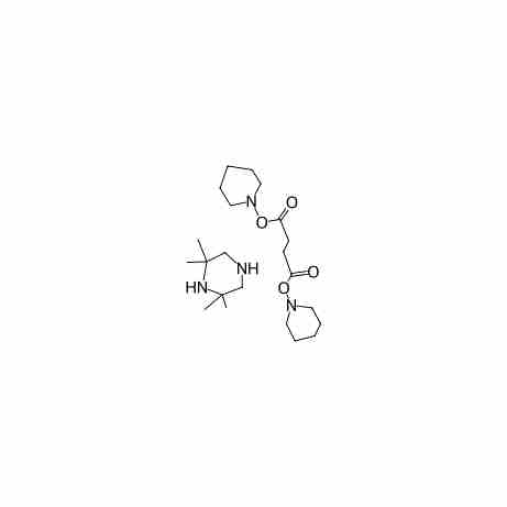 CC1(C)CNCC(C)(C)N1.O=C(CCC(=O)ON1CCCCC1)ON1CCCCC1